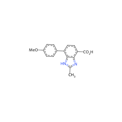 COc1ccc(-c2ccc(C(=O)O)c3nc(C)[nH]c23)cc1